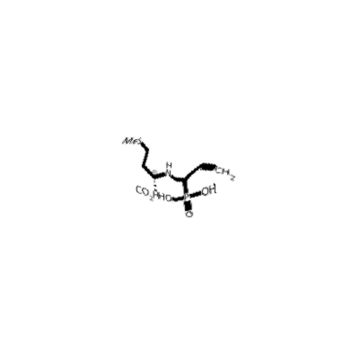 C=CC(N[C@@H](CCSC)C(=O)O)P(=O)(O)O